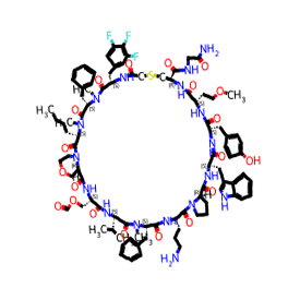 CCCC[C@H]1C(=O)N2CCOC[C@@H]2C(=O)N[C@@H](COC=O)C(=O)N[C@@H](C(C)C)C(=O)N(C)[C@@H](Cc2ccccc2)C(=O)N[C@@H](CCCN)C(=O)N2CCC[C@@H]2C(=O)N[C@@H](Cc2c[nH]c3ccccc23)C(=O)N[C@@H](Cc2ccc(O)cc2)C(=O)N[C@@H](CCOC)C(=O)N[C@H](C(=O)NCC(N)=O)CSCC(=O)N[C@@H](Cc2cc(F)c(F)c(F)c2)C(=O)N(C)[C@@H](Cc2ccccc2)C(=O)N1C